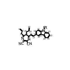 C=CCC1=NC(C#N)=C(C#N)N=C(C=Cc2ccc3c(c2)c2ccccc2n3CC)C1CC=C